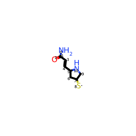 NC(=O)C=CC1CC([S])CN1